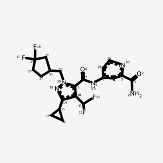 NC(=O)c1cc(NC(=O)c2c(C(F)F)c(C3CC3)nn2CC2CCC(F)(F)C2)ccn1